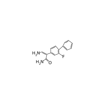 N/C=C(\C(N)=O)c1ccc(-c2ccccc2)c(F)c1